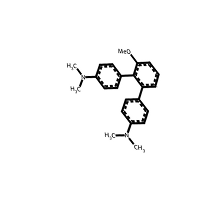 COc1cc[c]c(-c2ccc(N(C)C)cc2)c1-c1ccc(N(C)C)cc1